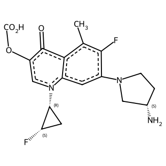 Cc1c(F)c(N2CC[C@H](N)C2)cc2c1c(=O)c(OC(=O)O)cn2[C@@H]1C[C@@H]1F